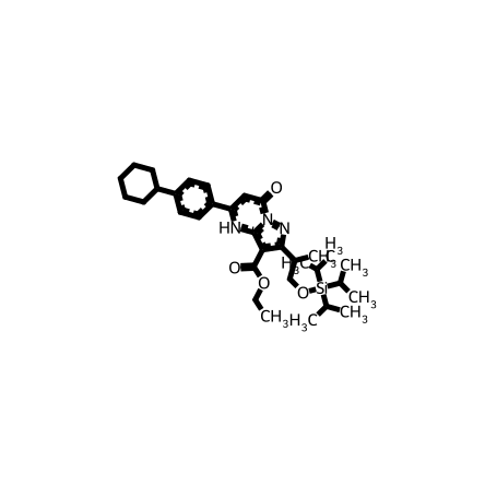 CCOC(=O)c1c(C(C)CO[Si](C(C)C)(C(C)C)C(C)C)nn2c(=O)cc(-c3ccc(C4CCCCC4)cc3)[nH]c12